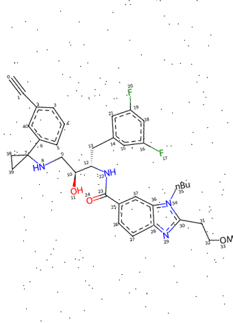 C#Cc1cccc(C2(NC[C@H](O)[C@H](Cc3cc(F)cc(F)c3)NC(=O)c3ccc4nc(CCOC)n(CCCC)c4c3)CC2)c1